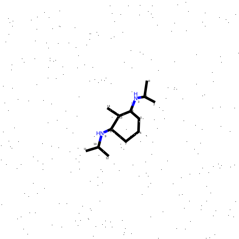 CC(C)NC1CCCC(NC(C)C)C1C